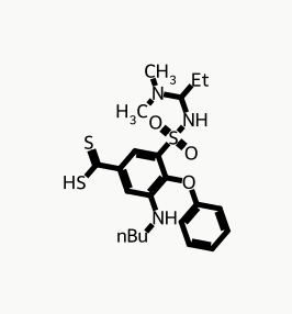 CCCCNc1cc(C(=S)S)cc(S(=O)(=O)NC(CC)N(C)C)c1Oc1ccccc1